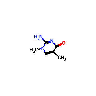 Cc1cn(C)c(N)nc1=O